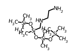 C[Si](C)(C)O[Si](C)(C)O[Si](C)(CNCCN)O[Si](C)(C)C